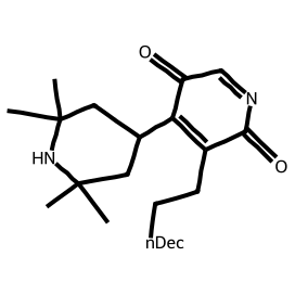 CCCCCCCCCCCCC1=C(C2CC(C)(C)NC(C)(C)C2)C(=O)C=NC1=O